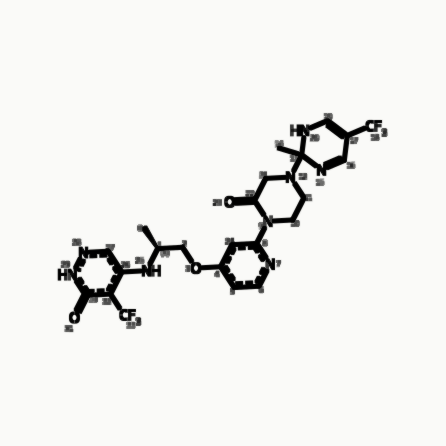 C[C@@H](COc1ccnc(N2CCN(C3(C)N=CC(C(F)(F)F)=CN3)CC2=O)c1)Nc1cn[nH]c(=O)c1C(F)(F)F